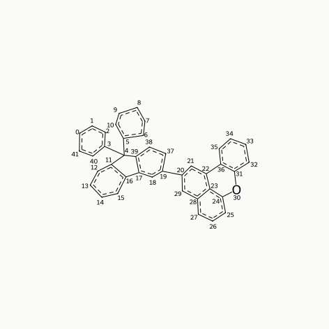 c1ccc(C2(c3ccccc3)c3ccccc3-c3cc(-c4cc5c6c(cccc6c4)Oc4ccccc4-5)ccc32)cc1